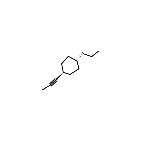 CC#C[C@H]1CC[C@H](OCC)CC1